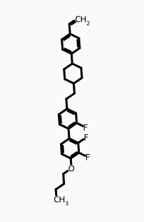 C=Cc1ccc(C2CCC(CCc3ccc(-c4ccc(OCCCC)c(F)c4F)c(F)c3)CC2)cc1